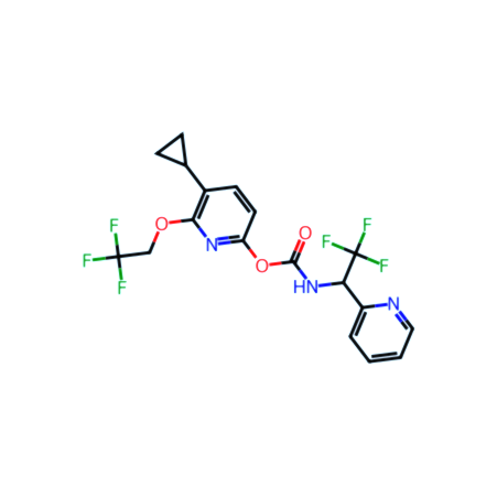 O=C(NC(c1ccccn1)C(F)(F)F)Oc1ccc(C2CC2)c(OCC(F)(F)F)n1